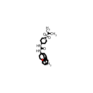 CC(C)S(=O)(=O)N1CCC(NC(=O)NC23CC4CC(C)(CC(C2)c2ccccc24)C3)CC1